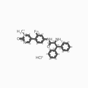 Cl.Cn1cc(-c2ccc(NC(=O)C(N)C(c3ccccc3)c3ccccc3)cc2F)cnc1=O